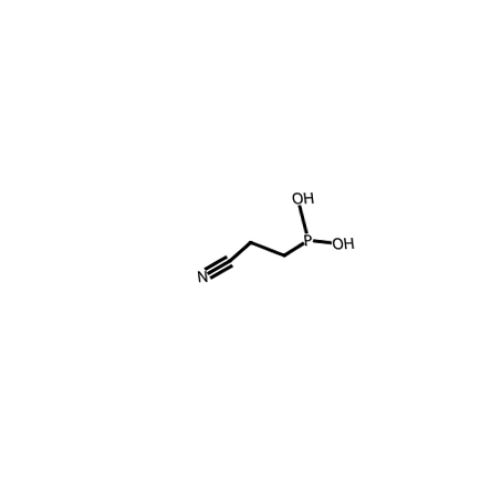 N#CCCP(O)O